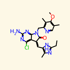 CCc1nc(C)c(/C=C2\C(=O)N(Cc3ncc(C)c(OC)c3C)c3nc(N)nc(Cl)c32)[nH]1